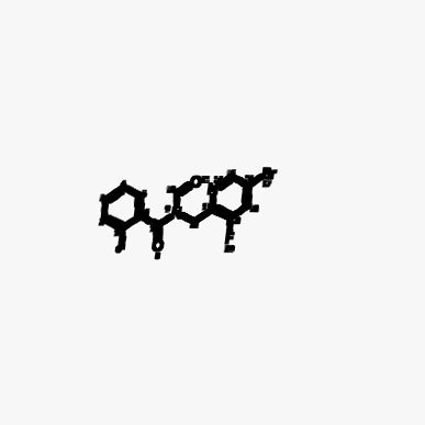 Cc1ccccc1C(=O)N(C=O)Cc1ncc(Br)cc1F